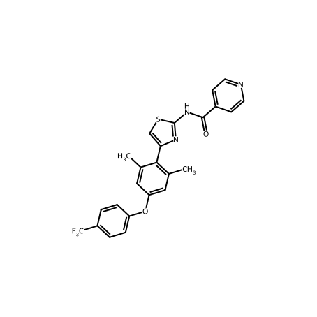 Cc1cc(Oc2ccc(C(F)(F)F)cc2)cc(C)c1-c1csc(NC(=O)c2ccncc2)n1